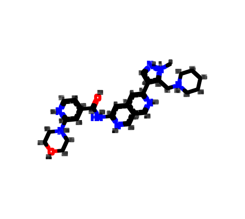 Cn1ncc(-c2cc3cc(NC(=O)c4ccnc(N5CCOCC5)c4)ncc3cn2)c1CN1CCCCC1